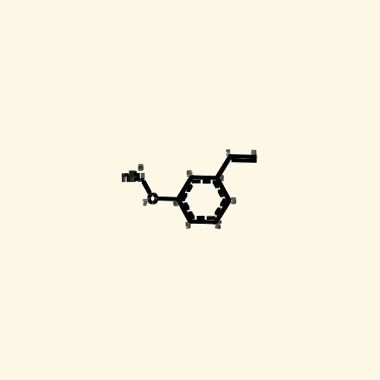 C=Cc1c[c]cc(OCCCC)c1